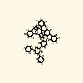 c1ccc(-c2cc(-c3ccccc3)nc(-c3ccc(-n4c5ccccc5c5cc6c(cc54)C4(c5ccccc5O6)c5ccccc5-n5c6ccccc6c6cccc4c65)cc3)n2)cc1